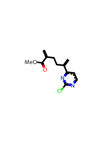 C=C(CCC(=C)c1ccnc(Cl)n1)C(=O)OC